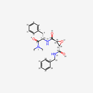 CN(C)C(=O)[C@H](Cc1ccccc1)NC(=O)[C@H]1O[C@@H]1C(=O)NCc1ccccc1